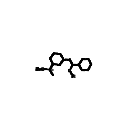 CCOC(CC1CCCC([C@@H](C)OC)C1)C1CCCCC1